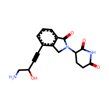 NCC(O)C#Cc1cccc2c1CN(C1CCC(=O)NC1=O)C2=O